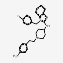 Nc1ccc(CCN2CCC(Nc3nc4ccccc4n3Cc3ccc(F)cc3)CC2)cc1